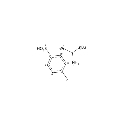 CCCCC(N)CCC.Cc1ccc(S(=O)(=O)O)cc1